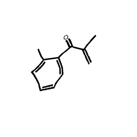 C=C(C)C(=O)c1ccccc1C